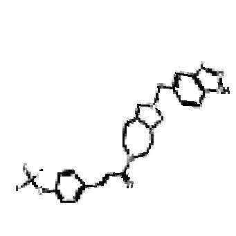 O=C(/C=C/c1ccc(OC(F)(F)F)cc1)N1CCC2CN(Cc3ccc4[nH]nnc4c3)CC2CC1